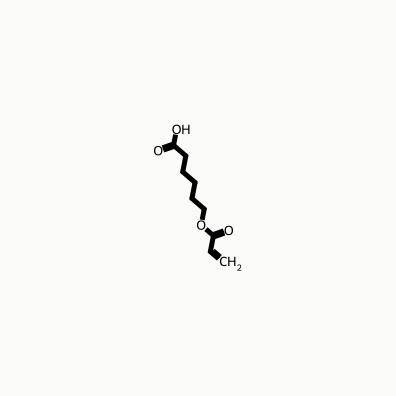 C=CC(=O)OCCCCCC(=O)O